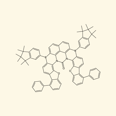 CC1(C)c2ccc(B3c4ccc5c(oc6cccc(-c7ccccc7)c65)c4N4C(=O)N5c6c(ccc7c6oc6cccc(-c8ccccc8)c67)B(c6ccc7c(c6)C(C)(C)C(C)(C)C7(C)C)c6ccc7ccc3c4c7c65)cc2C(C)(C)C1(C)C